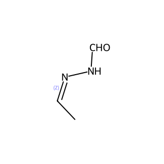 C/C=N\NC=O